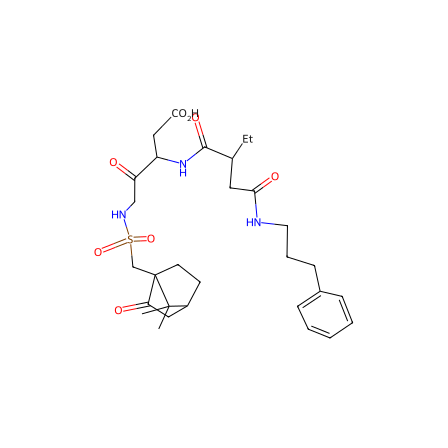 CCC(CC(=O)NCCCc1ccccc1)C(=O)NC(CC(=O)O)C(=O)CNS(=O)(=O)CC12CCC(CC1=O)C2(C)C